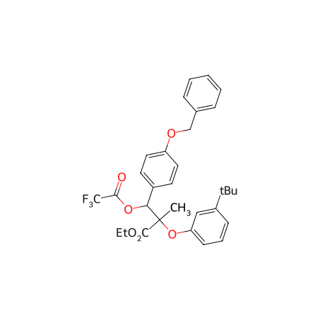 CCOC(=O)C(C)(Oc1cccc(C(C)(C)C)c1)C(OC(=O)C(F)(F)F)c1ccc(OCc2ccccc2)cc1